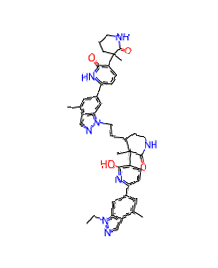 CCn1ncc2c(C)cc(-c3ccc(C4(C)C(=O)NCCC4CCn4ncc5c(C)cc(-c6ccc(C7(C)CCCNC7=O)c(=O)[nH]6)cc54)c(O)n3)cc21